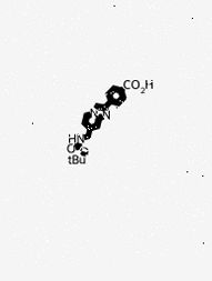 CC(C)(C)OC(=O)NCc1ccn2cc(-c3ccc(C(=O)O)cc3)nc2c1